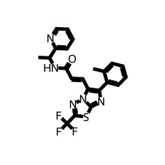 Cc1ccccc1-c1nc2sc(C(F)(F)F)nn2c1/C=C/C(=O)NC(C)c1ccccn1